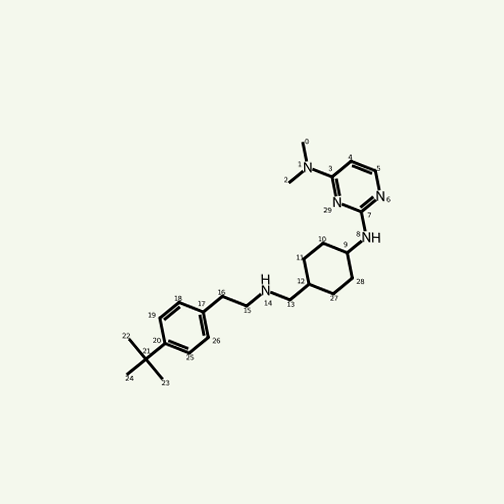 CN(C)c1ccnc(NC2CCC(CNCCc3ccc(C(C)(C)C)cc3)CC2)n1